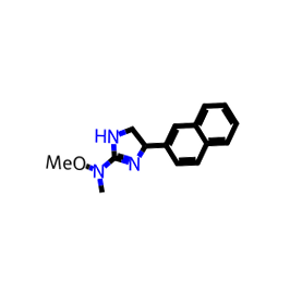 CON(C)C1=NC(c2ccc3ccccc3c2)CN1